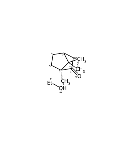 CC1(C)C2CC[C@]1(C)C(=O)C2.CCO